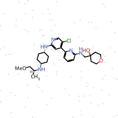 COC[C@H](C)N[C@H]1CC[C@H](Nc2cc(-c3cccc(NCC4(O)CCOCC4)n3)c(Cl)cn2)CC1